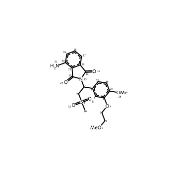 COCCOc1cc(C(CS(C)(=O)=O)N2C(=O)c3cccc(N)c3C2=O)ccc1OC